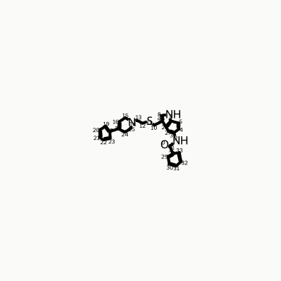 O=C(Nc1ccc2[nH]cc(CSCCN3CC=C(c4ccccc4)CC3)c2c1)c1ccccc1